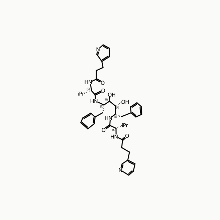 CC(C)[C@H](NC(=O)CCc1cccnc1)C(=O)N[C@@H](Cc1ccccc1)[C@@H](O)[C@H](O)[C@H](Cc1ccccc1)NC(=O)[C@@H](NC(=O)CCc1cccnc1)C(C)C